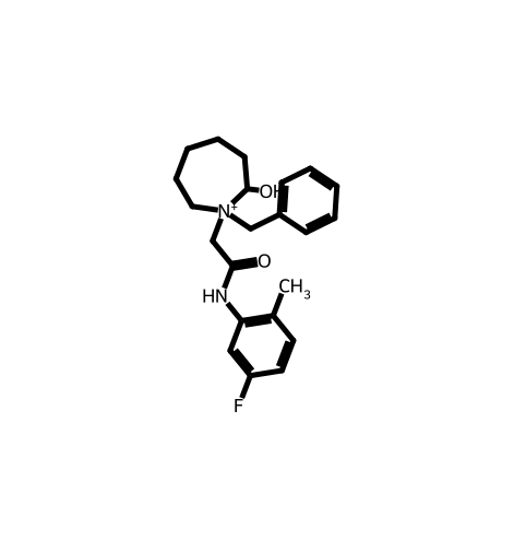 Cc1ccc(F)cc1NC(=O)C[N+]1(Cc2ccccc2)CCCCCC1O